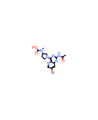 CC(=O)Nc1nc(N2CCC(N(C)C(=O)O)C2)c2ncc(Br)cc2n1